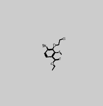 CCOC(=O)c1ccc(Br)c(OCCCl)c1SC